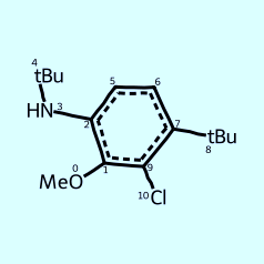 COc1c(NC(C)(C)C)ccc(C(C)(C)C)c1Cl